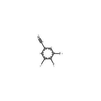 N#Cc1cc(F)c(F)c(I)c1